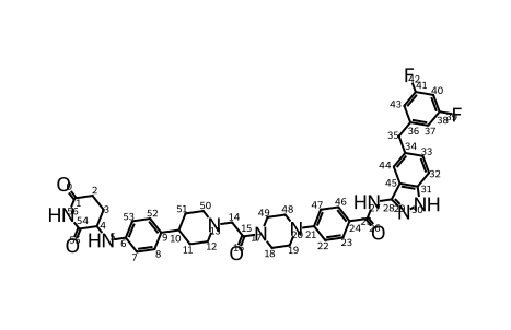 O=C1CCC(Nc2ccc(C3CCN(CC(=O)N4CCN(c5ccc(C(=O)Nc6n[nH]c7ccc(Cc8cc(F)cc(F)c8)cc67)cc5)CC4)CC3)cc2)C(=O)N1